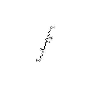 O=C(CCCCC(=O)OC(O)CCCCCO)OCCCCO